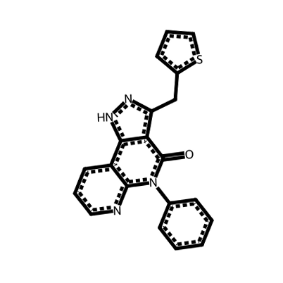 O=c1c2c(Cc3cccs3)n[nH]c2c2cccnc2n1-c1ccccc1